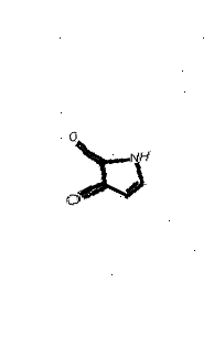 O=C1C=[C]NC1=O